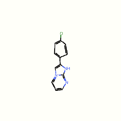 Clc1ccc(-c2c[n+]3cccnc3[nH]2)cc1